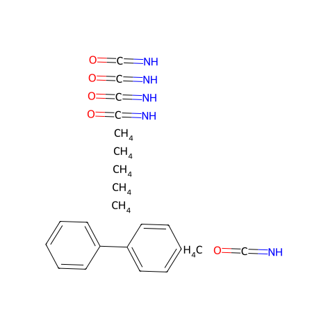 C.C.C.C.C.C.N=C=O.N=C=O.N=C=O.N=C=O.N=C=O.c1ccc(-c2ccccc2)cc1